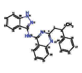 CC(Cc1nc(Nc2n[nH]c3ccccc23)c2ccccc2n1)c1ccccc1